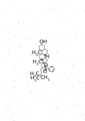 CC(C)(C)CCC(C[C@H]1CCC2[C@@H]3CCC4CC(O)CCC4(C)C3CC[C@@]21C)S(=O)(=O)c1ccccc1